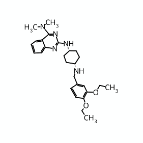 CCOc1ccc(CN[C@H]2CC[C@@H](Nc3nc(N(C)C)c4ccccc4n3)CC2)cc1OCC